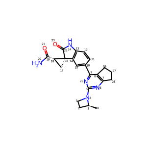 C[C@H]1CCN1c1nc2c(c(-c3ccc4c(c3)[C@]3(C[C@@H]3C(N)=O)C(=O)N4)n1)CCC2